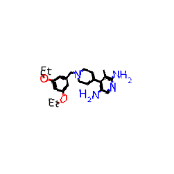 CCOc1cc(CN2CCC(c3c(N)cnc(N)c3C)CC2)cc(OCC)c1